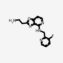 NCCc1nc2c(NCc3ncccc3F)nccc2o1